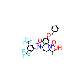 CC(=O)N(Cc1cc(C(F)(F)F)cc(C(F)(F)F)c1)C1CCC(C(C)C)N(C(=O)O)c2cc(OCc3ccccc3)ccc21